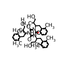 Cc1cccc(C)c1CC(C(C)CO)n1c(=O)n(C(Cc2c(C)cccc2C)C(C)CO)c(=O)n(C(Cc2c(C)cccc2C)C(C)CO)c1=O